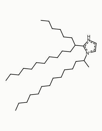 CCCCCCCCCCCCC(C)[n+]1cc[nH]c1C(CCCCCC)CCCCCCCCCCC